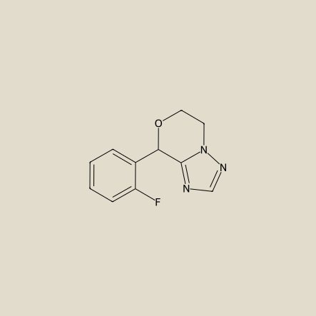 Fc1ccccc1C1OCCn2ncnc21